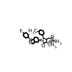 Cc1cccc(C2C(CS(N)(=O)=O)C(C)C(=O)N2c2ccc3c(cnn3-c3ccc(F)cc3)c2)c1